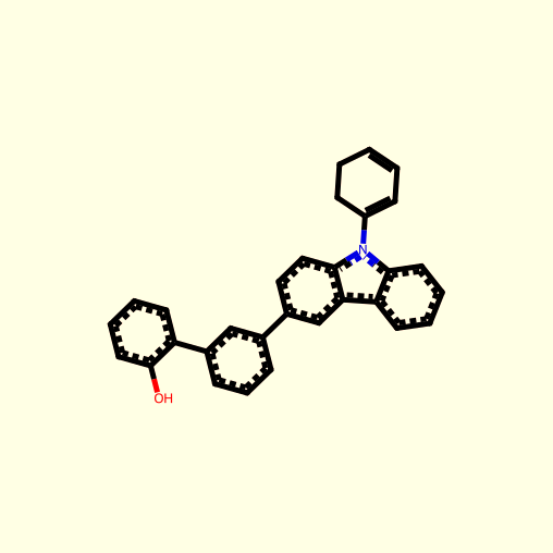 Oc1ccccc1-c1cccc(-c2ccc3c(c2)c2ccccc2n3C2=CC=CCC2)c1